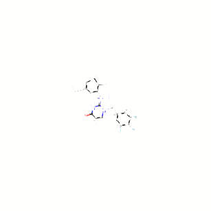 CCc1ccc(C)c(Nc2nc(=O)c(F)cn2Cc2cc(F)c(F)c(F)c2)c1